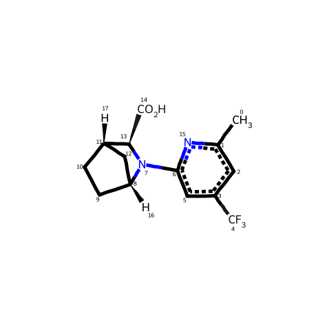 Cc1cc(C(F)(F)F)cc(N2[C@@H]3CC[C@@H](C3)[C@H]2C(=O)O)n1